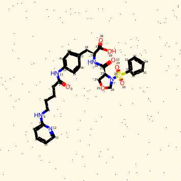 O=C(CCCCNc1ccccn1)Nc1ccc(C[C@H](NC(=O)[C@@H]2COCN2S(=O)(=O)c2ccccc2)C(=O)O)cc1